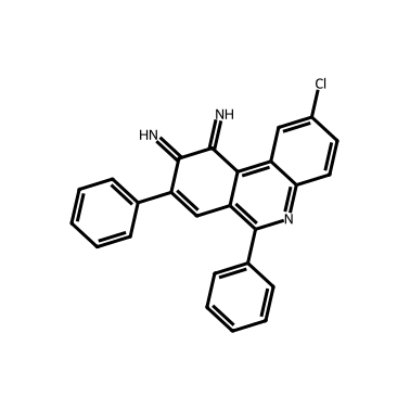 N=C1C(=N)c2c(c(-c3ccccc3)nc3ccc(Cl)cc23)C=C1c1ccccc1